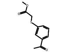 COC(=O)CSc1cccc(C(C)=O)c1